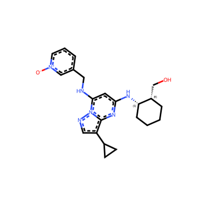 [O-][n+]1cccc(CNc2cc(N[C@H]3CCCC[C@H]3CO)nc3c(C4CC4)cnn23)c1